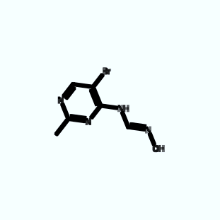 Cc1ncc(Br)c(N/C=N/O)n1